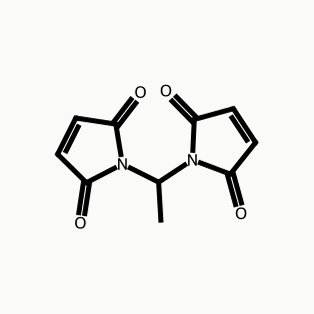 CC(N1C(=O)C=CC1=O)N1C(=O)C=CC1=O